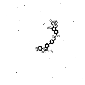 Cn1c(=O)n(C2CCC(=O)NC2=O)c2ccc(-c3ccc(CC(=O)Nc4ccc5c(F)c(N6CC(=O)NS6(=O)=O)c(O)cc5c4)nc3)cc21